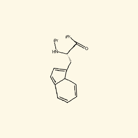 CC(C)N[C@@H](CC1=CC=C2C=CC=CC21)C(=O)C(C)C